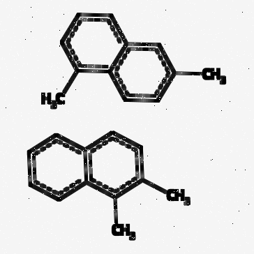 Cc1ccc2c(C)cccc2c1.Cc1ccc2ccccc2c1C